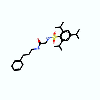 CC(C)c1cc(C(C)C)c(S(=O)(=O)NCC(=O)NCCCC2=CCC=CC2)c(C(C)C)c1